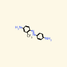 Nc1ccc(/N=N/c2ccc(N)cc2C(F)(F)F)cc1